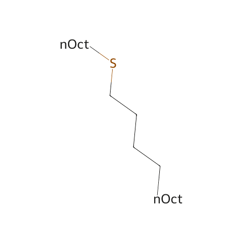 [CH2]CCCCCCCSCCCCCCCCCCCC